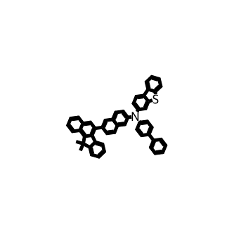 CC1(C)c2ccccc2-c2c(-c3ccc4cc(N(c5ccc(-c6ccccc6)cc5)c5ccc6c(c5)sc5ccccc56)ccc4c3)cc3ccccc3c21